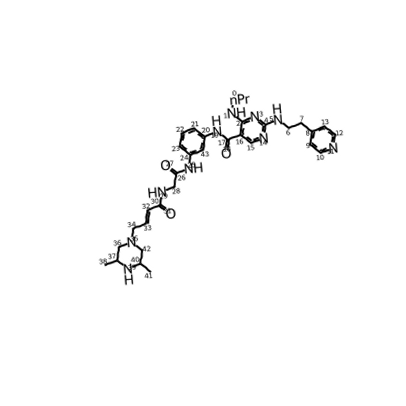 CCCNc1nc(NCCc2ccncc2)ncc1C(=O)Nc1cccc(NC(=O)CNC(=O)/C=C/CN2CC(C)NC(C)C2)c1